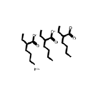 CCCCC(CC)C(=O)[O-].CCCCC(CC)C(=O)[O-].CCCCC(CC)C(=O)[O-].[Ir+3]